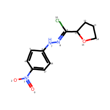 O=[N+]([O-])c1ccc(N/N=C(\Cl)C2CCCO2)cc1